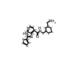 NCC1CCCC(CNC(=O)c2ccnc3[nH]c(-c4cccs4)nc23)C1